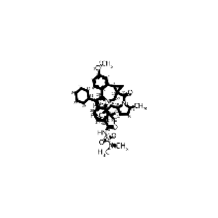 COc1ccc2c(c1)C1CC1(C(=O)N1C(C)CCC1CC(C)(O)C(F)(F)F)Cn1c-2c(C2CCCCC2)c2ccc(C(=O)NS(=O)(=O)N(C)C)cc21